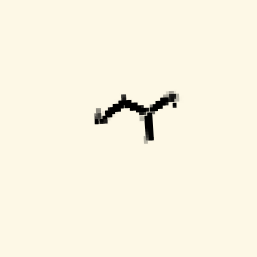 CCCCCN(C)C(C)CC